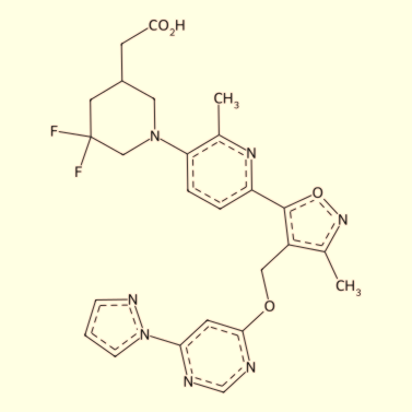 Cc1nc(-c2onc(C)c2COc2cc(-n3cccn3)ncn2)ccc1N1CC(CC(=O)O)CC(F)(F)C1